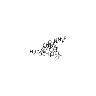 C=CC(=O)N1C[C@H](C)N(c2nc(=O)n3c4c(c(-c5cc(Cl)c(F)cc5F)c(Cl)cc24)SC[C@@H]3CN2CCN(CC(F)F)CC2)C[C@H]1C